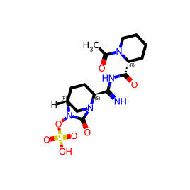 CC(=O)N1CCCC[C@@H]1C(=O)NC(=N)[C@@H]1CC[C@@H]2CN1C(=O)N2OS(=O)(=O)O